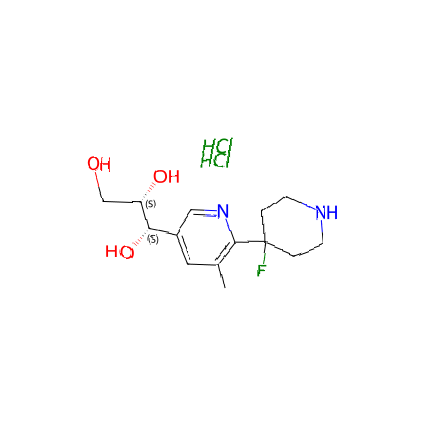 Cc1cc([C@H](O)[C@@H](O)CO)cnc1C1(F)CCNCC1.Cl.Cl